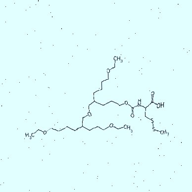 CCOCCCCC(CCCOCC)COCC(CCCCOCC)CCCOC(=O)NC(CSSC)C(=O)O